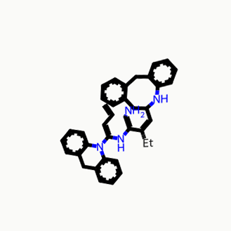 C=C/C=C(\NC(=C/N)/C(=C\C1Cc2ccccc2Cc2ccccc2N1)CC)N1c2ccccc2Cc2ccccc21